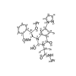 COc1ccccc1[C@H](CN1c2sc(-n3cccn3)c(C)c2C(=O)N(C(C)(C)C(=O)NC(C)C)C1O)OC(C)C